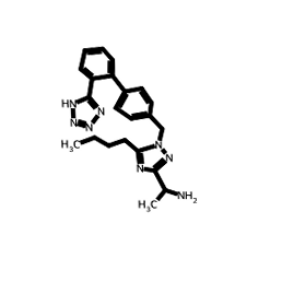 CCCCc1nc(C(C)N)nn1Cc1ccc(-c2ccccc2-c2nnn[nH]2)cc1